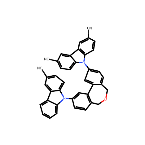 N#Cc1ccc2c(c1)c1ccccc1n2-c1ccc2c(c1)-c1cc(-n3c4ccc(C#N)cc4c4cc(C#N)ccc43)ccc1COC2